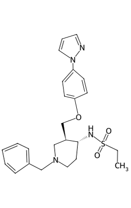 CCS(=O)(=O)N[C@@H]1CCN(Cc2ccccc2)C[C@H]1COc1ccc(-n2cccn2)cc1